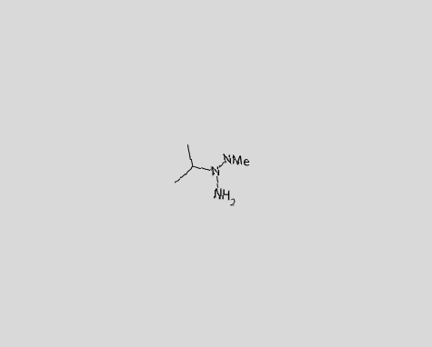 CNN(N)C(C)C